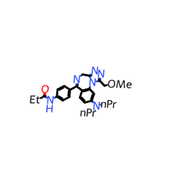 CCCN(CCC)c1ccc2c(c1)-n1c(nnc1COC)CN=C2c1ccc(NC(=O)CC)cc1